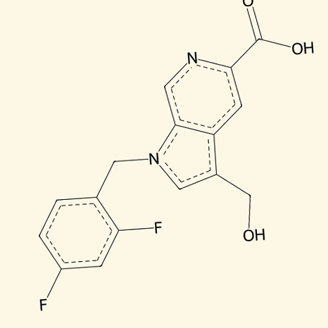 O=C(O)c1cc2c(CO)cn(Cc3ccc(F)cc3F)c2cn1